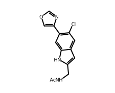 CC(=O)NCc1cc2cc(Cl)c(-c3cocn3)cc2[nH]1